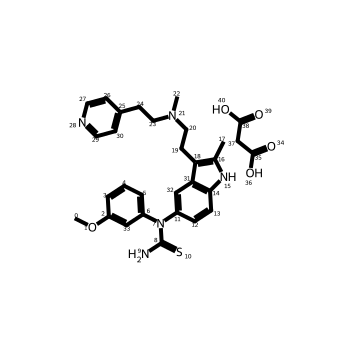 COc1cccc(N(C(N)=S)c2ccc3[nH]c(C)c(CCN(C)CCc4ccncc4)c3c2)c1.O=C(O)CC(=O)O